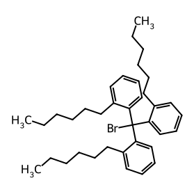 CCCCCCc1ccccc1C(Br)(c1ccccc1CCCCCC)c1ccccc1CCCCCC